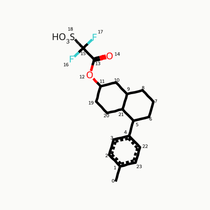 Cc1ccc(C2CCCC3CC(OC(=O)C(F)(F)S(=O)(=O)O)CCC32)cc1